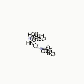 C/C(=C\CC1CCC(NC(=O)/C=C\[C@H](C)O[Si](C)(C)C(C)(C)C)CC1)CS(=O)(=O)c1nc2ccccc2s1